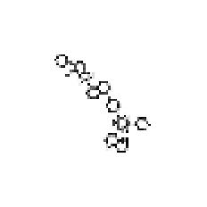 c1cnc2c(-c3nc(-c4ccncc4)nc(-c4ccc(-c5cccc6c(-c7nc8ccc9c%10ccccc%10oc9c8o7)cccc56)cc4)n3)ccnc2c1